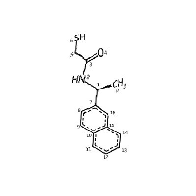 C[C@H](NC(=O)CS)c1ccc2ccccc2c1